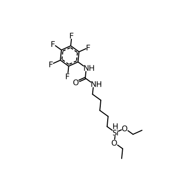 CCO[SiH](CCCCCNC(=O)Nc1c(F)c(F)c(F)c(F)c1F)OCC